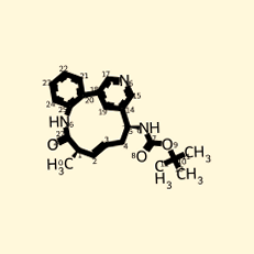 C[C@@H]1/C=C/C[C@H](NC(=O)OC(C)(C)C)c2cncc(c2)-c2ccccc2NC1=O